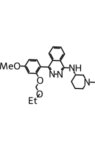 CCOCOc1cc(OC)ccc1-c1nnc(N[C@@H]2CCCN(C)C2)c2ccccc12